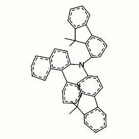 CC1(C)c2ccccc2-c2ccc(N(c3cccc4c3C(C)(C)c3ccccc3-4)c3ccc4ccccc4c3-c3ccccc3)cc21